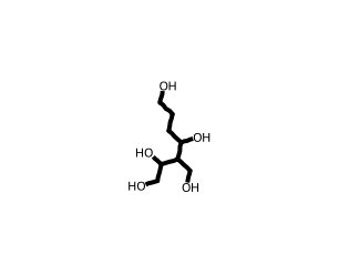 OCCCC(O)C(CO)C(O)CO